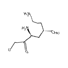 NCC[C@H](C=O)C[C@H](N)C(=O)CCl